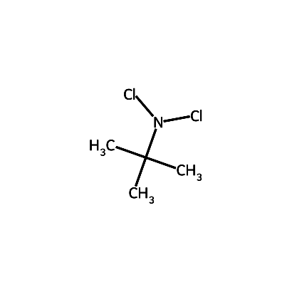 CC(C)(C)N(Cl)Cl